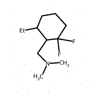 CCC1CCCC(F)(F)C1CN(C)C